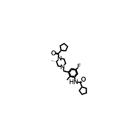 Cc1c(CN2CCN(C(=O)C3CCCC3)[C@@H](C)C2)cc(F)cc1NC(=O)C1CCCC1